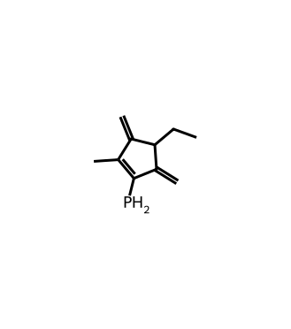 C=C1C(C)=C(P)C(=C)C1CC